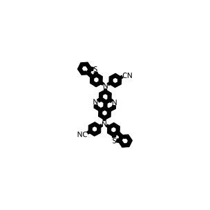 N#Cc1ccc(N(c2cc3cnc4cc(N(c5ccc(C#N)cc5)c5ccc6c(c5)sc5ccccc56)cc5ncc(c2)c3c45)c2ccc3c(c2)sc2ccccc23)cc1